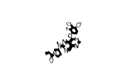 C=CC(=O)N1CCC(N(C)c2ncc3ncnc(Oc4ccc(Cl)c(Cl)c4F)c3n2)C1